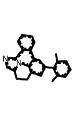 Cc1cccc(C)c1-c1cc2c3c(c1)c1ccccc1c1ncc(n13)CC2